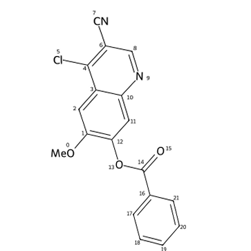 COc1cc2c(Cl)c(C#N)cnc2cc1OC(=O)c1ccccc1